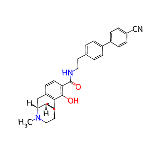 CN1CC[C@]23CCC=C[C@H]2[C@H]1Cc1ccc(C(=O)NCCc2ccc(-c4ccc(C#N)cc4)cc2)c(O)c13